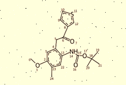 COc1cc(CC(=O)c2ccsc2)c(NC(=O)OC(C)(C)C)cc1C